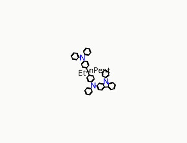 CCCCCC(CC)(c1ccc(N(c2ccccc2)c2ccccc2)cc1)c1ccc(N(c2ccccc2)c2ccc3c4ccccc4n(-c4ccccc4)c3c2)cc1